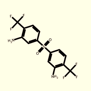 Nc1cc(S(=O)(=O)c2ccc(C(F)(F)F)c(N)c2)ccc1C(F)(F)F